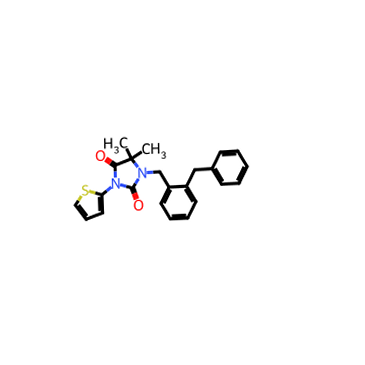 CC1(C)C(=O)N(c2cccs2)C(=O)N1Cc1ccccc1Cc1ccccc1